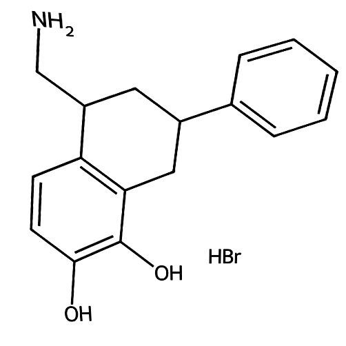 Br.NCC1CC(c2ccccc2)Cc2c1ccc(O)c2O